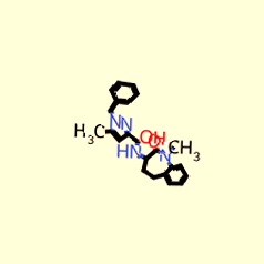 Cc1cc(C(O)NC2CCc3ccccc3N(C)C2=O)nn1Cc1ccccc1